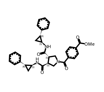 COC(=O)c1ccc(C(=O)N2C[C@@H](C(=O)N[C@H]3C[C@@H]3c3ccccc3)[C@H](C(=O)N[C@H]3C[C@@H]3c3ccccc3)C2)cc1